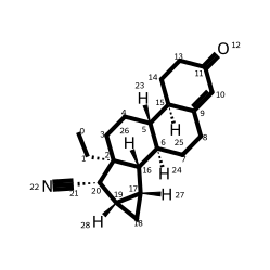 CC[C@]12CC[C@H]3[C@@H](CCC4=CC(=O)CC[C@@H]43)[C@@H]1[C@@H]1C[C@@H]1[C@@H]2C#N